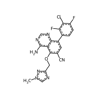 Cn1cnc(COc2c(C#N)cc(-c3ccc(F)c(Cl)c3F)c3ncnc(N)c23)n1